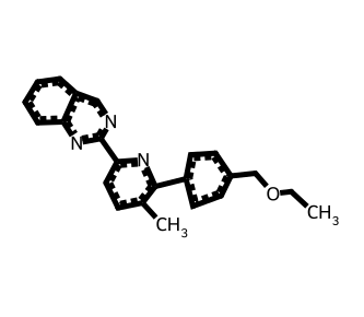 CCOCc1ccc(-c2nc(-c3ncc4ccccc4n3)ccc2C)cc1